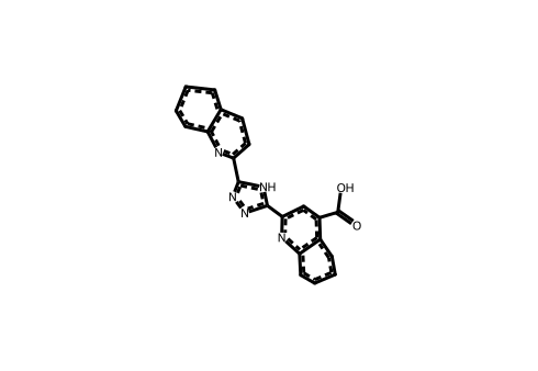 O=C(O)c1cc(-c2nnc(-c3ccc4ccccc4n3)[nH]2)nc2ccccc12